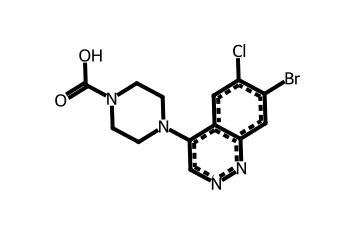 O=C(O)N1CCN(c2cnnc3cc(Br)c(Cl)cc23)CC1